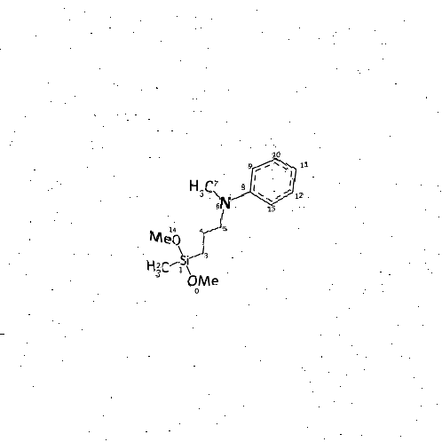 CO[Si](C)(CCCN(C)c1ccccc1)OC